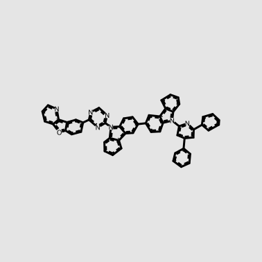 c1ccc(-c2cc(-c3ccccc3)nc(-n3c4ccccc4c4cc(-c5ccc6c(c5)c5ccccc5n6-c5ncnc(-c6ccc7oc8cccnc8c7c6)n5)ccc43)c2)cc1